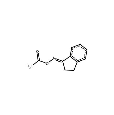 CC(=O)ON=C1CCc2ccccc21